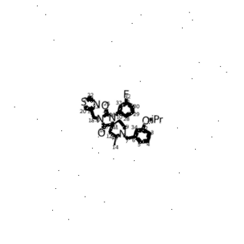 CC(C)Oc1cccc(CN2CC[C@@]3(C[C@@H]2C)C(=O)N(Cc2cscn2)C(=O)N3c2cccc(F)c2)c1